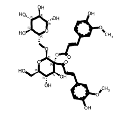 COc1cc(C=CC(=O)O[C@@]2(C(=O)C=Cc3ccc(O)c(OC)c3)[C@H](OC[C@H]3O[C@@H](O)[C@H](O)[C@@H](O)[C@@H]3O)O[C@H](CO)[C@@H](O)[C@@H]2O)ccc1O